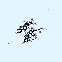 CC1(C)O[C@@H]2C[C@H]3[C@@H]4CCC5=CC(=O)C=C[C@]5(C)[C@H]4[C@@H](O)C[C@]3(C)[C@]2(C(=O)CO)O1.CCC(=O)OCC(=O)[C@@]1(OC(=O)CC)[C@@H](C)C[C@H]2[C@@H]3CCC4=CC(=O)C=C[C@]4(C)[C@@]3(F)[C@@H](O)C[C@@]21C